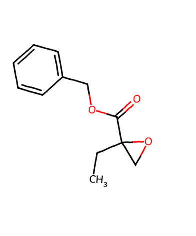 CCC1(C(=O)OCc2ccccc2)CO1